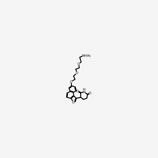 CC(=O)NCCOCCOCCOc1ccc2c(ccc3occ(C4CCC(=O)NC4=O)c32)c1